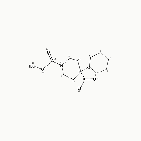 CCC(=O)C1(C2CCCCC2)CCN(C(=O)OC(C)(C)C)CC1